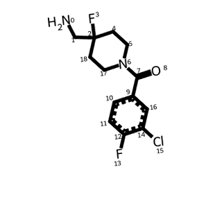 NCC1(F)CCN(C(=O)c2ccc(F)c(Cl)c2)CC1